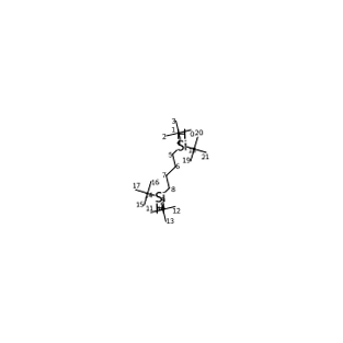 CC(C)(C)[SiH](CCCC[SiH](C(C)(C)C)C(C)(C)C)C(C)(C)C